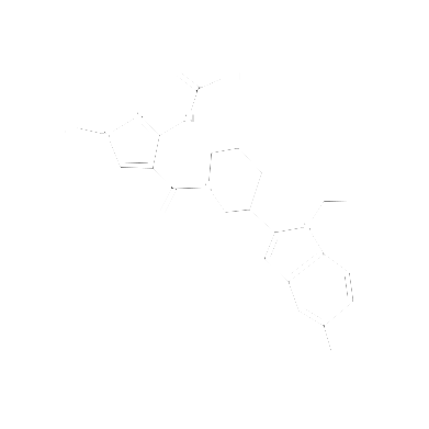 CCn1c(C2CCCN(C(=O)c3cn(C)nc3NC(=O)O)C2)cc2cc(Cl)ccc21